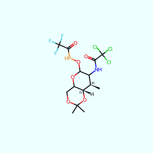 C[C@@H]1C(NC(=O)C(Cl)(Cl)Cl)C(OPC(=O)C(F)(F)F)OC2COC(C)(C)O[C@H]21